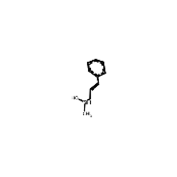 C[SiH](O)CC=Cc1ccccc1